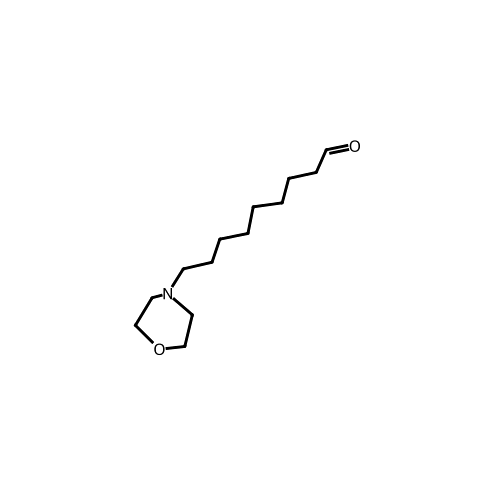 O=CCCCCCCCCN1CCOCC1